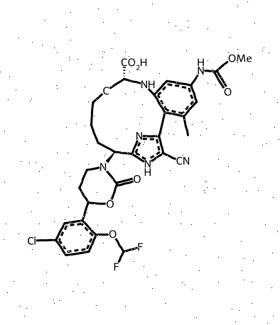 COC(=O)Nc1cc(C)c2c(c1)N[C@@H](C(=O)O)CCCC[C@H](N1CCC(c3cc(Cl)ccc3OC(F)F)OC1=O)c1nc-2c(C#N)[nH]1